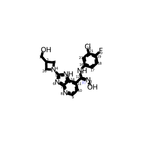 OCC1CN(c2nc3nccc(/C(=N\O)Nc4ccc(F)c(Cl)c4)c3[nH]2)C1